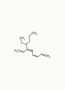 C=C/C=C\N=C(/C=C)C(CC)CCC